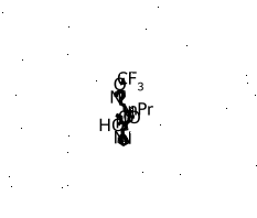 C=CN(O)C(CCc1ncccn1)CS(=O)(=O)N(CCC)CCCc1ccc(OCC(F)(F)F)cn1